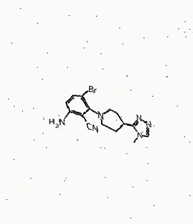 Cn1cnnc1C1CCN(c2c(Br)ccc(N)c2C#N)CC1